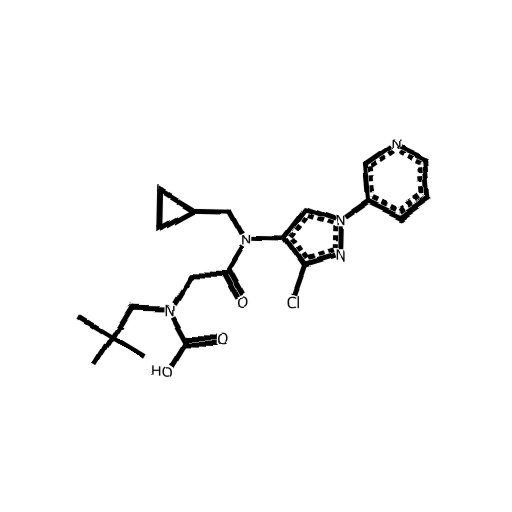 CC(C)(C)CN(CC(=O)N(CC1CC1)c1cn(-c2cccnc2)nc1Cl)C(=O)O